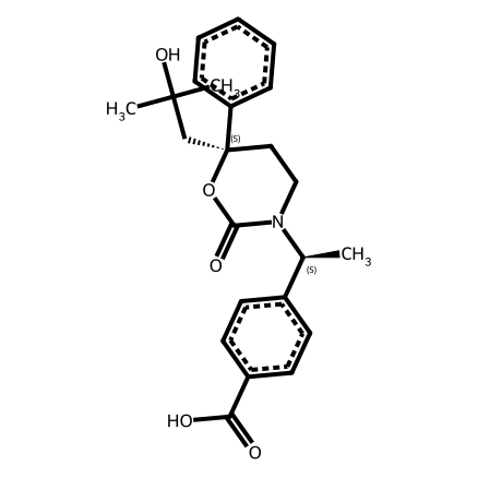 C[C@@H](c1ccc(C(=O)O)cc1)N1CC[C@](CC(C)(C)O)(c2ccccc2)OC1=O